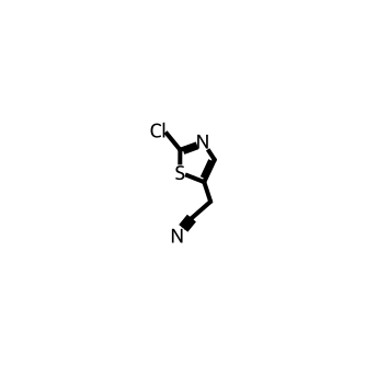 N#CCc1cnc(Cl)s1